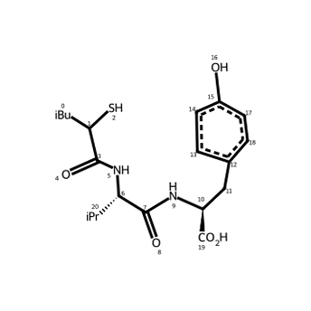 CCC(C)C(S)C(=O)N[C@H](C(=O)N[C@@H](Cc1ccc(O)cc1)C(=O)O)C(C)C